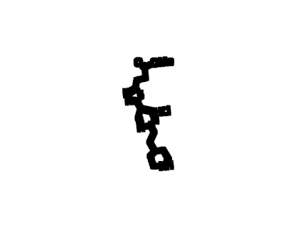 COC(=O)CCc1nnc(-c2cnc(CCC3CCNCC3)nc2)s1.Cl